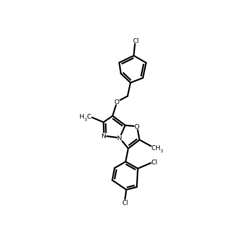 Cc1nn2c(-c3ccc(Cl)cc3Cl)c(C)oc2c1OCc1ccc(Cl)cc1